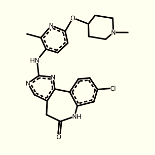 Cc1nc(OC2CCN(C)CC2)ccc1Nc1ncc2c(n1)-c1ccc(Cl)cc1NC(=O)C2